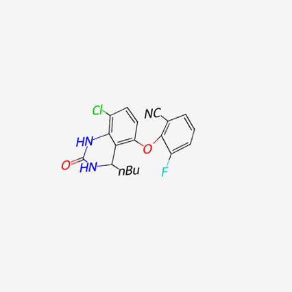 CCCCC1NC(=O)Nc2c(Cl)ccc(Oc3c(F)cccc3C#N)c21